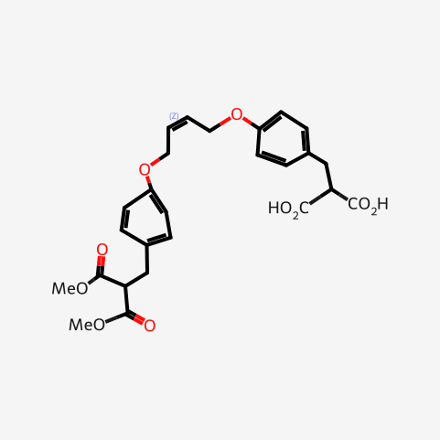 COC(=O)C(Cc1ccc(OC/C=C\COc2ccc(CC(C(=O)O)C(=O)O)cc2)cc1)C(=O)OC